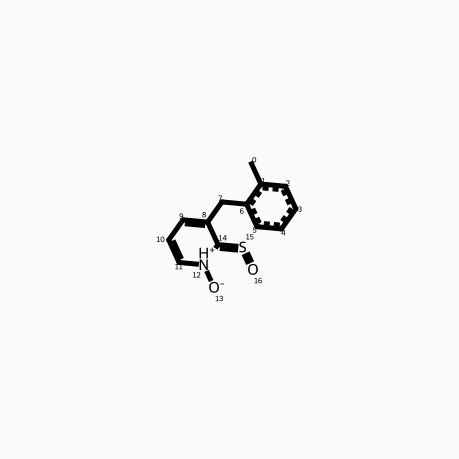 Cc1ccccc1CC1=CC=C[NH+]([O-])C1=S=O